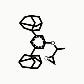 CC(Oc1cc(C23CC4CC(CC(C4)C2)C3)cc(C23CC4CC(CC(C4)C2)C3)c1)C1CO1